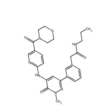 CCCNC(=O)Cc1cccc(-c2cc(Nc3ccc(C(=O)N4CCOCC4)cn3)c(=O)n(C)n2)c1